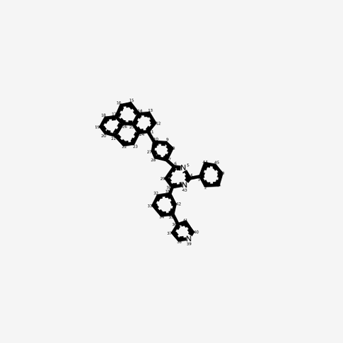 c1ccc(-c2nc(-c3ccc(-c4ccc5ccc6cccc7ccc4c5c67)cc3)cc(-c3cccc(-c4ccncc4)c3)n2)cc1